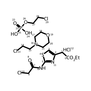 CCOC(=O)Cc1csc(NC(=O)CCl)n1.Cl.ClCCN1CCOCC1.O=P(O)(O)OCCCl